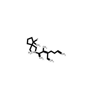 C=CCC/C(C=C)=C(\C)C(=C)NCC1(CC)CCCC1(C)F